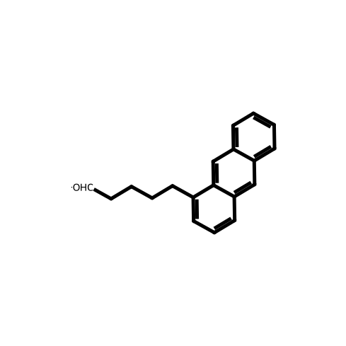 O=[C]CCCCc1cccc2cc3ccccc3cc12